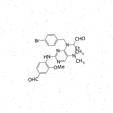 CCC(C=O)N(Cc1ccc(Br)cc1)c1nc(Nc2ccc(C=O)cc2OC)ncc1N(C)C